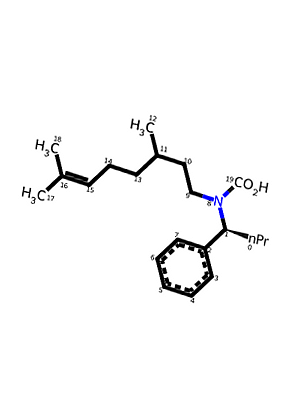 CCC[C@@H](c1ccccc1)N(CCC(C)CCC=C(C)C)C(=O)O